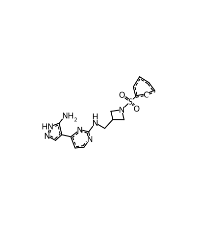 Nc1[nH]ncc1-c1ccnc(NCC2CN(S(=O)(=O)c3ccccc3)C2)n1